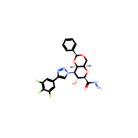 NNC(=O)[C@@H]1O[C@@H]2CO[C@H](c3ccccc3)O[C@@H]2[C@H](n2cc(-c3cc(F)c(F)c(F)c3)nn2)[C@H]1O